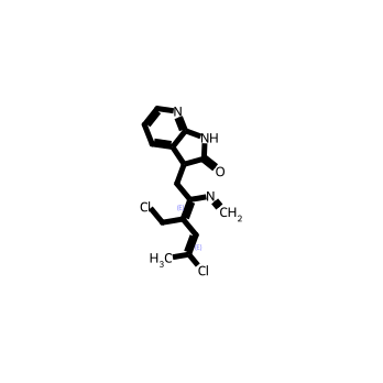 C=N/C(CC1C(=O)Nc2ncccc21)=C(\C=C(/C)Cl)CCl